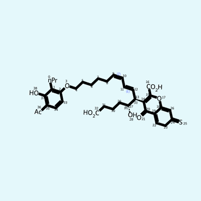 CCCc1c(OCCCCC/C=C\C=C\[C@@H](c2c(C(=O)O)oc3c(c2=O)=CCC(=S)C=3)[C@H](O)CCCC(=O)O)ccc(C(C)=O)c1O